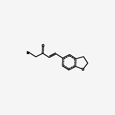 O=C(/C=C/c1ccc2c(c1)CCO2)CBr